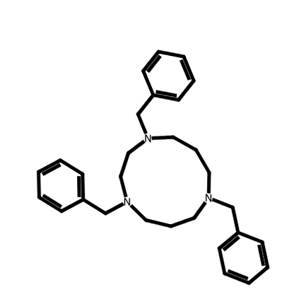 c1ccc(CN2CCCN(Cc3ccccc3)CCN(Cc3ccccc3)CCC2)cc1